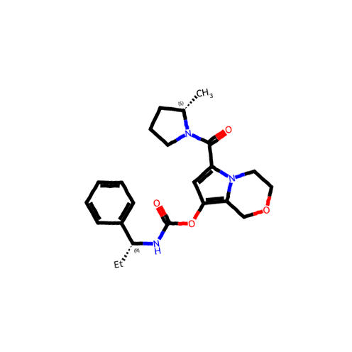 CC[C@@H](NC(=O)Oc1cc(C(=O)N2CCC[C@@H]2C)n2c1COCC2)c1ccccc1